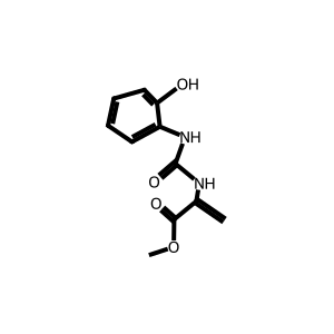 C=C(NC(=O)Nc1ccccc1O)C(=O)OC